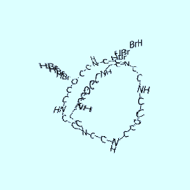 Br.Br.Br.Br.Br.Br.C1COCCNCCN2CCNCCOCCNCCN(CCN1)CCNCCOCCNCC2